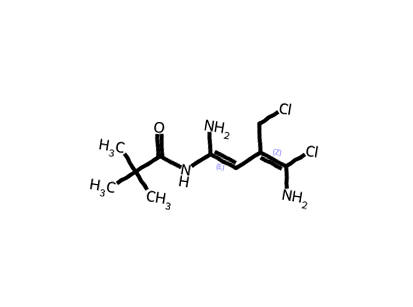 CC(C)(C)C(=O)N/C(N)=C/C(CCl)=C(\N)Cl